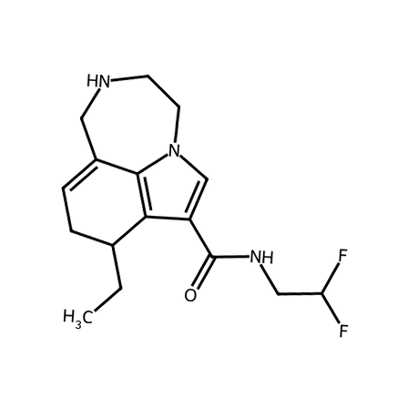 CCC1CC=C2CNCCn3cc(C(=O)NCC(F)F)c1c32